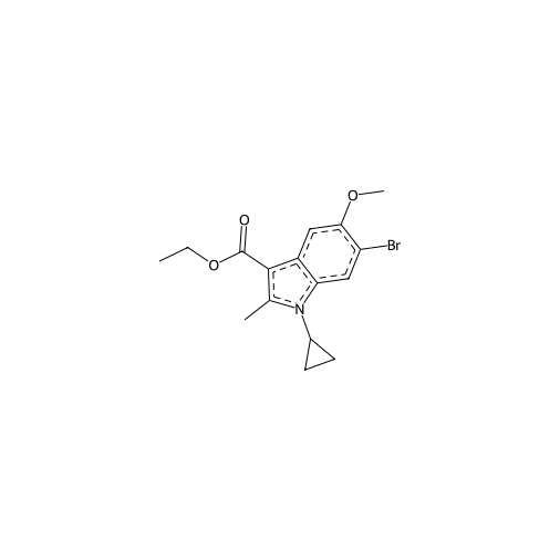 CCOC(=O)c1c(C)n(C2CC2)c2cc(Br)c(OC)cc12